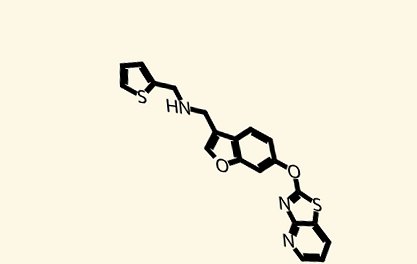 c1csc(CNCc2coc3cc(Oc4nc5ncccc5s4)ccc23)c1